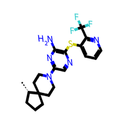 C[C@H]1CCCC12CCN(c1cnc(Sc3cccnc3C(F)(F)F)c(N)n1)CC2